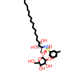 CCCCCCCCCCCCCC[C@@H](O)[C@@H](O)[C@H](CO[C@H]1OC(CO)[C@H](O)[C@H](O)C1O)NS(=O)(=O)c1cccc(C)c1